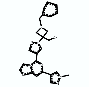 Cn1cc(-c2cc3nccn3c(-c3cnn(C4(CC#N)CN(Cc5ccccc5)C4)c3)n2)cn1